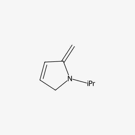 C=C1C=CCN1C(C)C